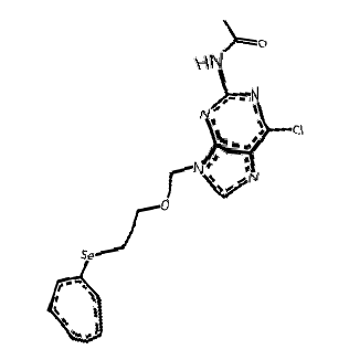 CC(=O)Nc1nc(Cl)c2ncn(COCC[Se]c3ccccc3)c2n1